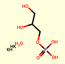 O.O=P(O)(O)OCC(O)CO.[KH].[KH]